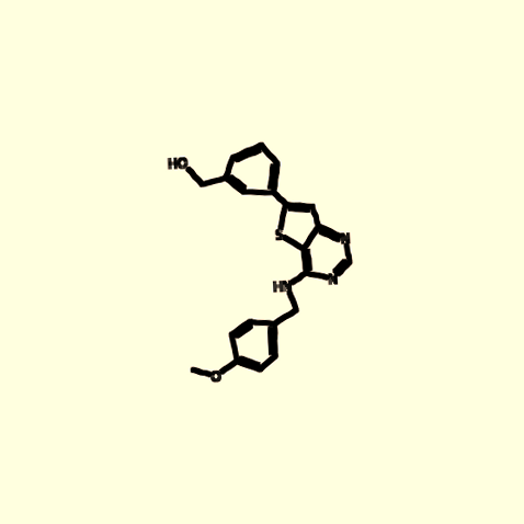 COc1ccc(CNc2ncnc3cc(-c4cccc(CO)c4)sc23)cc1